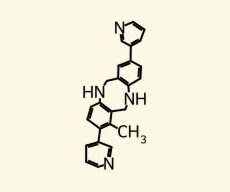 Cc1c(-c2cccnc2)ccc2c1CNc1ccc(-c3cccnc3)cc1CN2